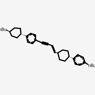 CCCCc1ccc([C@H]2CC[C@H](/C=C/C#Cc3ccc([C@H]4CC[C@H](CCCC)CC4)cc3)CC2)cc1